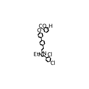 CCn1cc(-c2ccc(Cl)cc2Cl)nc1C=Cc1ccc(-c2ccc(OC(C(=O)O)c3ccccc3)cc2)cc1